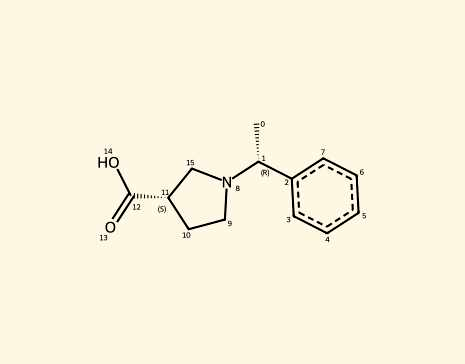 C[C@H](c1ccccc1)N1CC[C@H](C(=O)O)C1